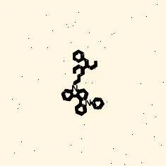 C\C=C/C(=C/C1=CC=CCC1)C(/C=C\C)=C/CC=Cn1c2ccccc2c2c3c4ccccc4n(-c4ccccc4)c3ccc21